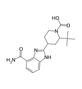 CC(C)(C)C1CC(c2nc3c(C(N)=O)cccc3[nH]2)CCN1C(=O)O